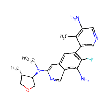 Cc1c(N)cncc1-c1cc2cc(N(C(=O)O)[C@H]3COC[C@@H]3C)ncc2c(N)c1F